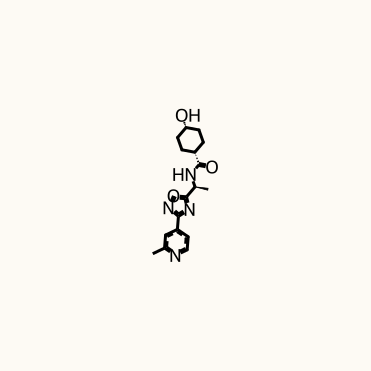 Cc1cc(-c2noc([C@H](C)NC(=O)[C@H]3CC[C@@H](O)CC3)n2)ccn1